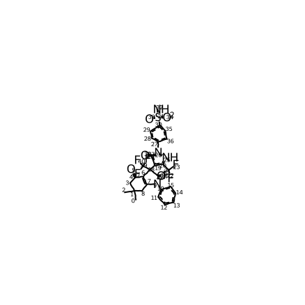 CC1(C)CC(=O)C2=C(C1)N(c1ccccc1)C(=O)C2(c1c(C(F)(F)F)[nH]n(-c2ccc(S(N)(=O)=O)cc2)c1=O)C(F)(F)F